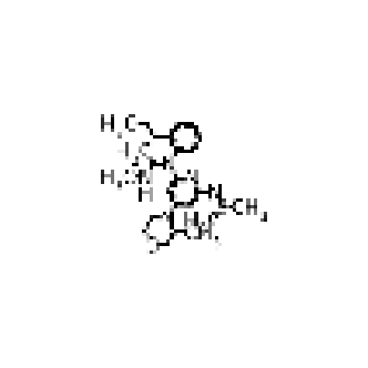 C=C(NC)N(c1cc(N2CCOCC2C)cc(N=S(C)C)n1)c1ccccc1CCC